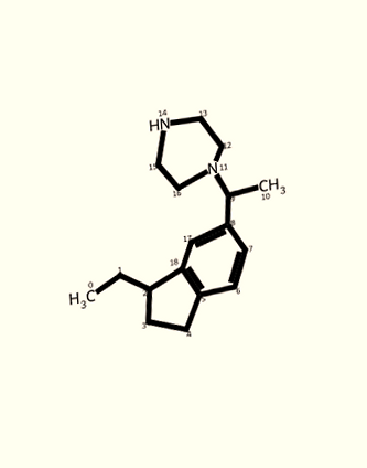 CCC1CCc2ccc(C(C)N3CCNCC3)cc21